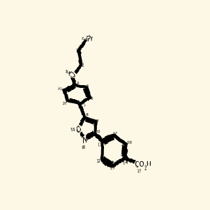 CC(C)CCOc1ccc(-c2cc(-c3ccc(C(=O)O)cc3)no2)cc1